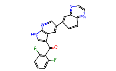 O=C(c1c(F)cccc1F)c1c[nH]c2ncc(-c3ccc4nccnc4c3)cc12